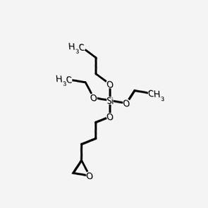 CCCO[Si](OCC)(OCC)OCCCC1CO1